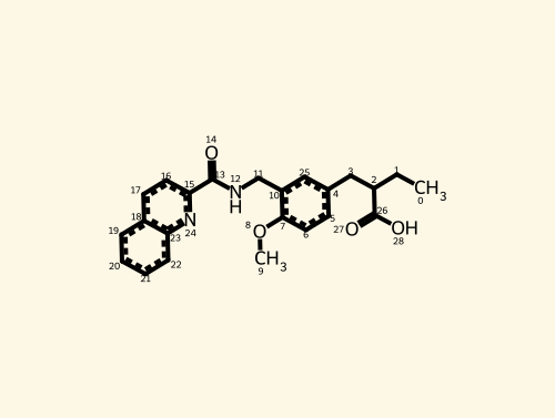 CCC(Cc1ccc(OC)c(CNC(=O)c2ccc3ccccc3n2)c1)C(=O)O